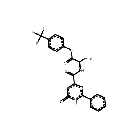 CC(NC(=O)c1cc(=O)[nH]c(-c2ccccc2)n1)C(=O)Oc1ccc(C(F)(F)F)cc1